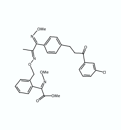 CO/N=C(/C(C)=N/OCc1ccccc1/C(=N\OC)C(=O)OC)c1ccc(CCC(=O)c2cccc(Cl)c2)cc1